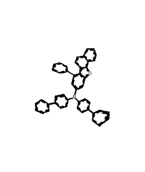 c1ccc(-c2ccc(N(c3ccc(-c4ccccc4)cc3)c3cc(-c4ccccc4)c4c(c3)oc3c5ccccc5ccc34)cc2)cc1